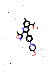 COC1CCN(c2ccc(-c3cc4c(C(C)O)cc(C)cc4nc3-c3cnoc3C)cc2)CC1